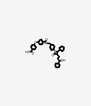 O=C(O)c1ccc(Oc2ccc(C(=O)NCc3ccc(N4C(=O)C(CCC(O)c5ccccc5)C4c4ccccc4)cc3)cc2)cc1